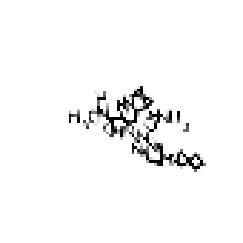 CNC(=O)c1nnc([C@@]2(C(N)=O)CC23CC3)cc1Nc1nc2ccc(N3CC4(CCC4)C3)cn2n1